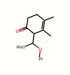 COC(OC(C)C)C1C(=O)CCC(C)=C1C